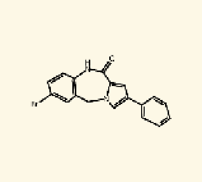 O=C1Nc2ccc(Br)cc2Cn2cc(-c3ccccc3)cc21